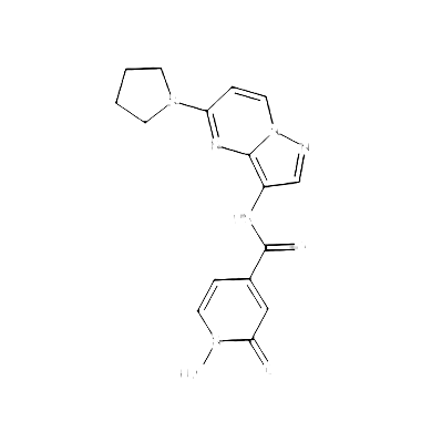 Cn1ccc(C(=O)Nc2cnn3ccc(N4CCCC4)nc23)cc1=O